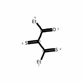 CCC(=O)C(=S)C(=S)CC